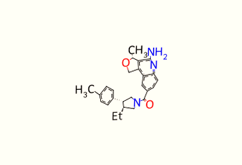 CC[C@@H]1CN(C(=O)c2ccc3nc(N)c4c(c3c2)CO[C@@H]4C)C[C@H]1c1ccc(C)cc1